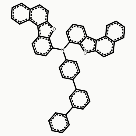 c1ccc(-c2cccc(-c3ccc(N(c4cccc5c4oc4ccc6ccccc6c45)c4cccc5c4oc4ccc6ccccc6c45)cc3)c2)cc1